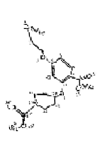 COCCOc1ccc(C(=O)OC)c(OC2CCN(C(=O)OC(C)(C)C)CC2)c1